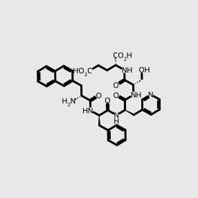 N[C@H](Cc1ccc2ccccc2c1)C(=O)N[C@H](Cc1ccccc1)C(=O)N[C@H](Cc1cccnc1)C(=O)N[C@@H](CO)C(=O)N[C@H](CCC(=O)O)C(=O)O